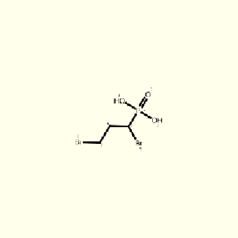 O=P(O)(O)C(Br)CCBr